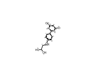 OC(O)CNc1ccc(-c2nc(Cl)cc(Cl)n2)cc1